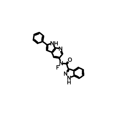 O=C(c1n[nH]c2ccccc12)N(F)c1cnc2[nH]c(-c3ccccc3)cc2c1